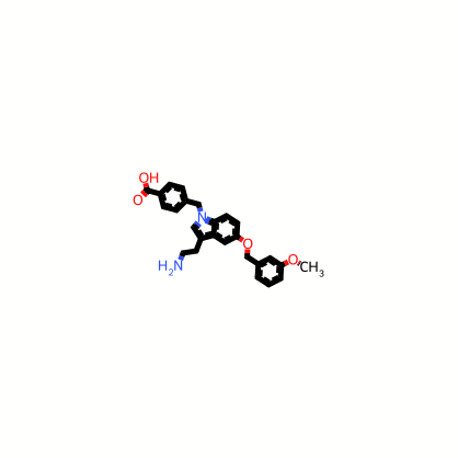 COc1cccc(COc2ccc3c(c2)c(CCN)cn3Cc2ccc(C(=O)O)cc2)c1